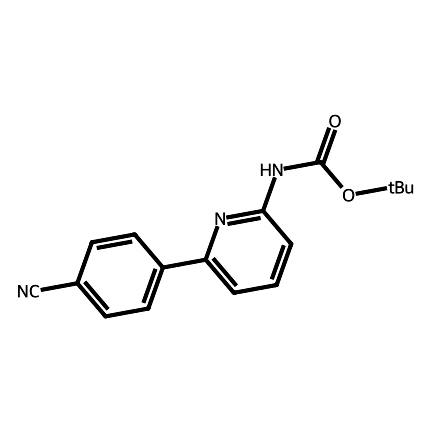 CC(C)(C)OC(=O)Nc1cccc(-c2ccc(C#N)cc2)n1